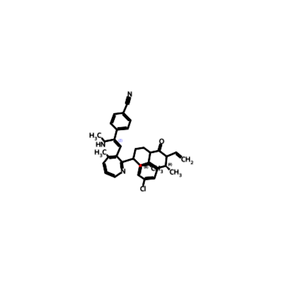 C=CC(C(=O)C1CCC(C2=NC=C=CC(C)=C2/C=C(\C(C)=N)c2ccc(C#N)cc2)C[C@H]1C)[C@@H](C)c1cccc(Cl)c1